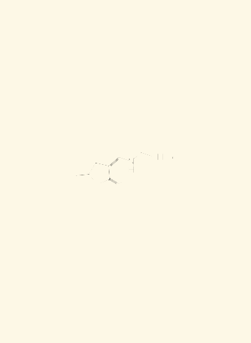 CCCCCCCN/C=C1/CC(C)OC1=O